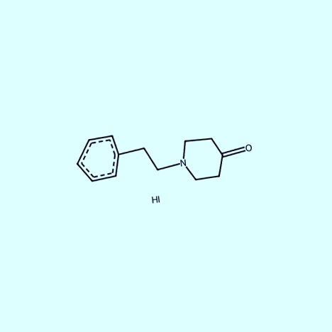 I.O=C1CCN(CCc2ccccc2)CC1